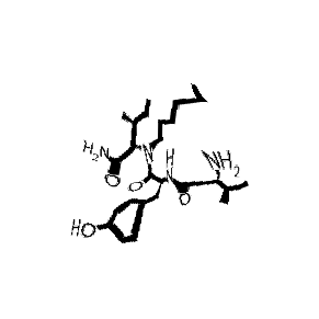 CCCCCCN(C(=O)[C@H](Cc1ccc(O)cc1)NC(=O)[C@@H](N)C(C)C)[C@H](C(N)=O)[C@@H](C)CC